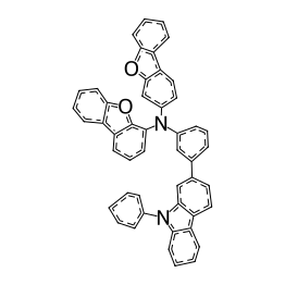 c1ccc(-n2c3ccccc3c3ccc(-c4cccc(N(c5ccc6c(c5)oc5ccccc56)c5cccc6c5oc5ccccc56)c4)cc32)cc1